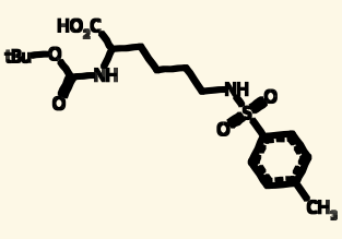 Cc1ccc(S(=O)(=O)NCCCCC(NC(=O)OC(C)(C)C)C(=O)O)cc1